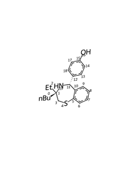 CCCC[C@]1(CC)CSc2ccccc2[C@@H](c2ccc(O)cc2)N1